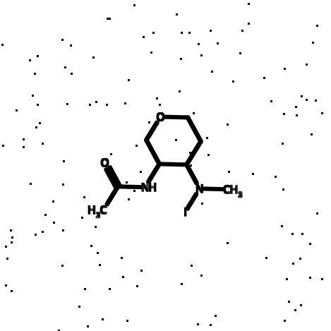 CC(=O)NC1COCCC1N(C)I